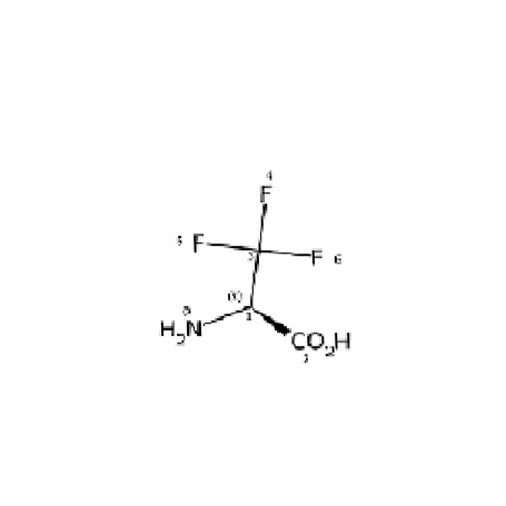 N[C@H](C(=O)O)C(F)(F)F